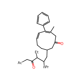 CCCC(CC1CC/C=C\C(c2ccccc2)=C(\C)CC(=O)C1)C(CC)C(=O)CC(C)=O